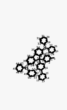 Cc1ccc(C2(c3ccc(-c4ccccc4)cc3)c3cc(B(c4ccccc4)c4ccccc4)ccc3-c3ccc(B(c4ccccc4)c4ccccc4)cc32)cc1